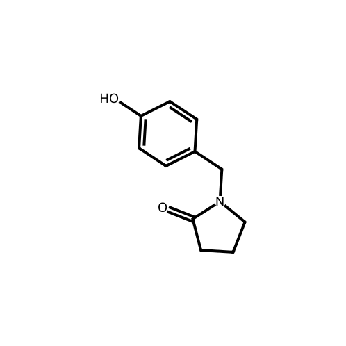 O=C1CCCN1Cc1ccc(O)cc1